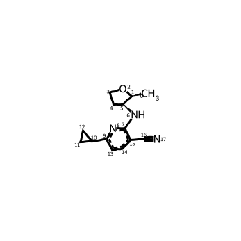 C[C@@H]1OCC[C@@H]1Nc1nc(C2CC2)ccc1C#N